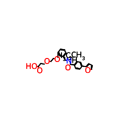 [2H]C(C)(C)N(Cc1ccccc1OCCOCCC(=O)O)C(=O)c1ccc(-c2ccco2)cc1